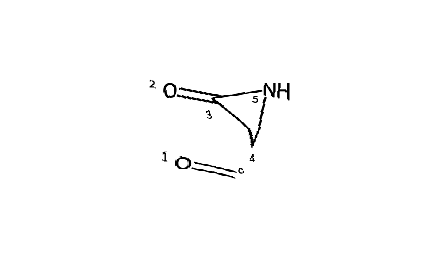 C=O.O=C1CN1